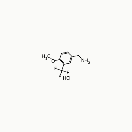 COc1ccc(CN)cc1C(F)(F)F.Cl